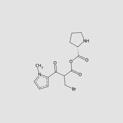 Cn1cccc1C(=O)C(CBr)C(=O)OC(=O)[C@@H]1CCCN1